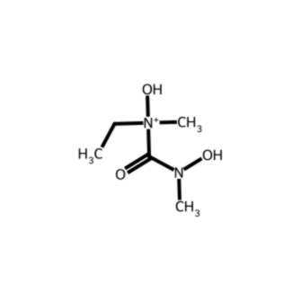 CC[N+](C)(O)C(=O)N(C)O